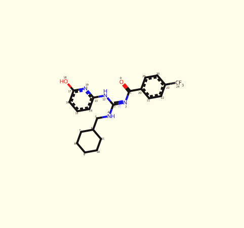 O=C(/N=C(/NCC1CCCCC1)Nc1cccc(O)n1)c1ccc(C(F)(F)F)cc1